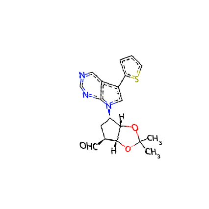 CC1(C)O[C@@H]2[C@H](O1)[C@@H](C=O)C[C@H]2n1cc(-c2cccs2)c2cncnc21